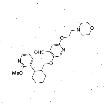 COc1ncccc1C1CCCCC1COc1cnc(OCCN2CCOCC2)cc1C=O